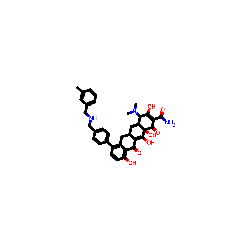 Cc1cccc(CNCc2ccc(-c3ccc(O)c4c3CC3CC5C(N(C)C)C(O)=C(C(N)=O)C(=O)C5(O)C(O)=C3C4=O)cc2)c1